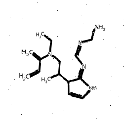 C=CC(=C)N(CC)CC(C)C1C=CN/C1=N/C=N\CN